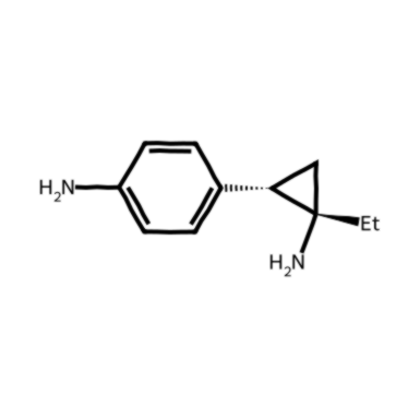 CC[C@]1(N)C[C@H]1c1ccc(N)cc1